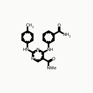 CNC(=O)c1cnc(Nc2ccc(C)cc2)nc1Nc1cccc(C(N)=O)c1